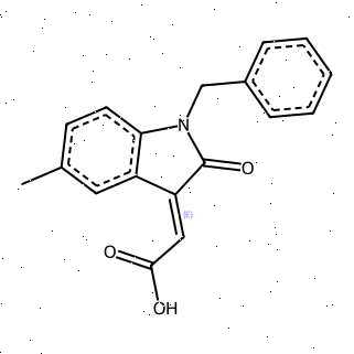 Cc1ccc2c(c1)/C(=C\C(=O)O)C(=O)N2Cc1ccccc1